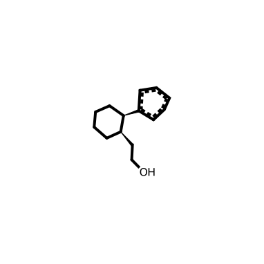 OCC[C@H]1CCCC[C@H]1c1ccccc1